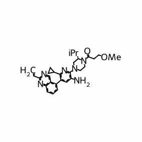 C=Cc1ncc2c(-c3cc(N)c(N4CCN(C(=O)CCOC)[C@H](C(C)C)C4)nc3C3CC3)cccc2n1